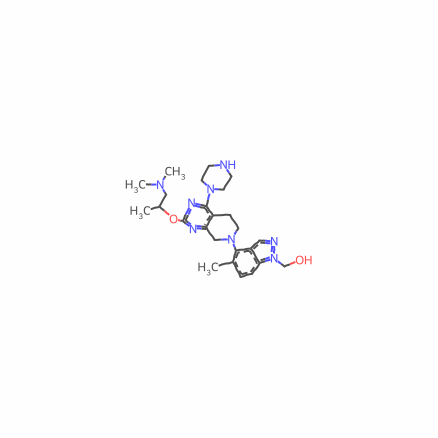 Cc1ccc2c(cnn2CO)c1N1CCc2c(nc(OC(C)CN(C)C)nc2N2CCNCC2)C1